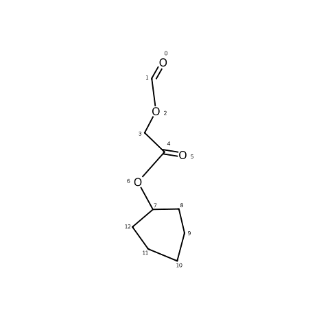 O=COCC(=O)OC1CCCCC1